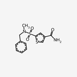 CN(Cc1ccccc1)S(=O)(=O)c1cc(C(N)=O)cs1